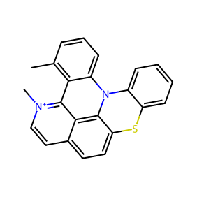 Cc1cccc2c1c1c3c4c(ccc3cc[n+]1C)sc1ccccc1n2-4